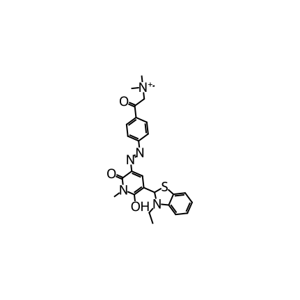 CCN1c2ccccc2SC1c1cc(N=Nc2ccc(C(=O)C[N+](C)(C)C)cc2)c(=O)n(C)c1O